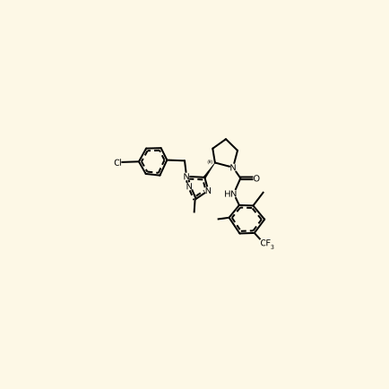 Cc1nc([C@H]2CCCN2C(=O)Nc2c(C)cc(C(F)(F)F)cc2C)n(Cc2ccc(Cl)cc2)n1